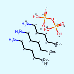 CCCCCCCCCCCCCCN.CCCCCCCCCCCCCCN.CCCCCCCCCCCCCCN.O=P([O-])(O)OP(=O)(O)O.[H+]